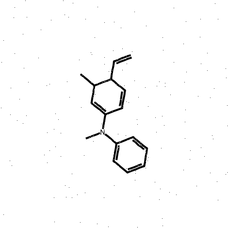 C=CC1C=CC(N(C)c2ccccc2)=CC1C